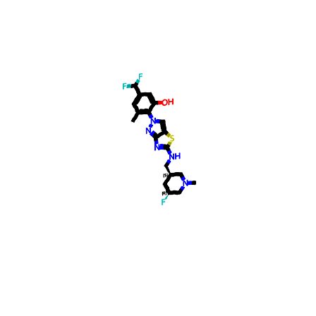 Cc1cc(C(F)F)cc(O)c1-n1cc2sc(NC[C@@H]3C[C@@H](F)CN(C)C3)nc2n1